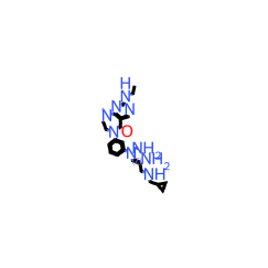 CCNc1ncc2c(n1)N(C)CCN(c1cccc(N(N)/C=C(\N)CNCC3CC3)c1)C2=O